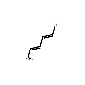 CC=CC=[CH][Lu]